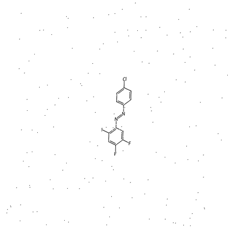 Fc1cc(I)c(N=Nc2ccc(Cl)cc2)cc1F